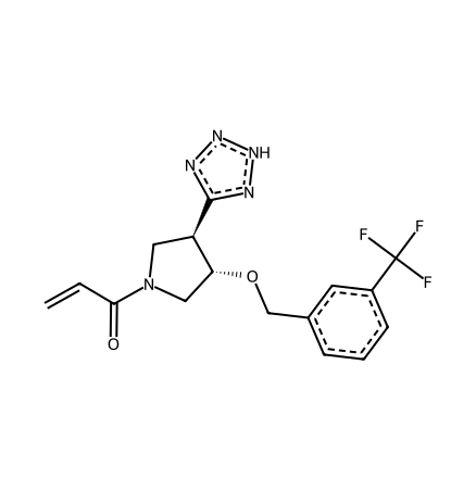 C=CC(=O)N1C[C@@H](OCc2cccc(C(F)(F)F)c2)[C@H](c2nn[nH]n2)C1